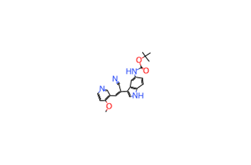 COc1ccncc1/C=C(\C#N)c1c[nH]c2ccc(NC(=O)OC(C)(C)C)cc12